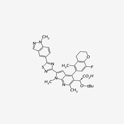 Cc1nc2c(cc(-c3nsc(-c4ccc5c(cnn5C)c4)n3)n2C)c(-c2cc(F)c3c(c2C)CCCO3)c1[C@H](OC(C)(C)C)C(=O)O